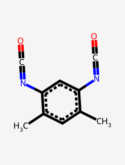 Cc1cc(C)c(N=C=O)cc1N=C=O